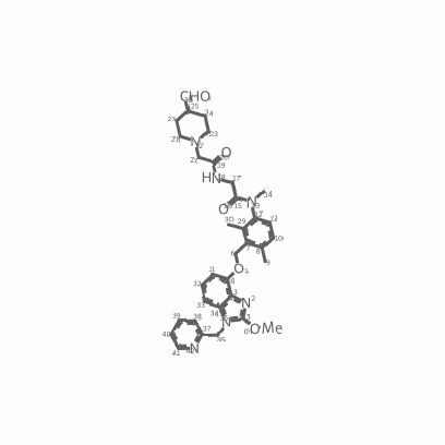 COc1nc2c(OCc3c(C)ccc(N(C)C(=O)CNC(=O)CN4CCC(C=O)CC4)c3C)cccc2n1Cc1ccccn1